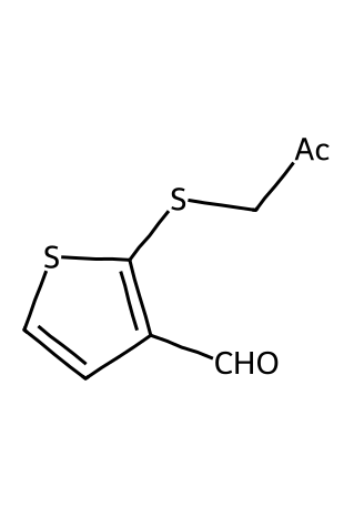 CC(=O)CSc1sccc1C=O